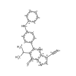 CC(C)c1c(-c2ccc(Nc3ccccc3)cc2)[nH]c2c(C#N)cnn2c1=O